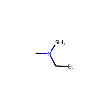 CCCN(C)[SiH3]